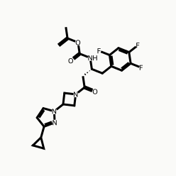 C=C(C)OC(=O)N[C@@H](CC(=O)N1CC(n2ccc(C3CC3)n2)C1)Cc1cc(F)c(F)cc1F